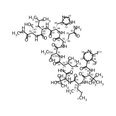 CC[C@H](C)[C@H](NC(=O)[C@@H](NC(=O)c1ccnc(F)c1F)C(C)(C)C)C(=O)N[C@H](C(=O)N[C@H](C(=O)N[C@H](C(=O)N[C@@H](CCC(N)=O)C(=O)N[C@@H](Cc1c[nH]cn1)C(=O)N[C@H](CC(C)C)C(=O)N[C@@H](CO)C(=O)NC)[C@@H](C)O)[C@@H](C)CC)C(C)(C)O